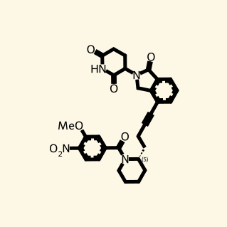 COc1cc(C(=O)N2CCCC[C@H]2CCC#Cc2cccc3c2CN(C2CCC(=O)NC2=O)C3=O)ccc1[N+](=O)[O-]